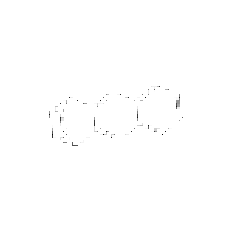 c1ccc2cc3c4ccc(cc4)c3cc2c1